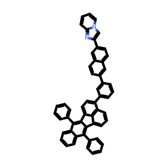 c1ccc(-c2c3c(c(-c4ccccc4)c4ccccc24)-c2ccc(-c4cccc(-c5ccc6cc(-c7cn8ccccc8n7)ccc6c5)c4)c4cccc-3c24)cc1